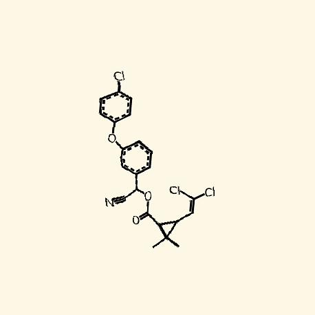 CC1(C)C(C=C(Cl)Cl)C1C(=O)OC(C#N)c1cccc(Oc2ccc(Cl)cc2)c1